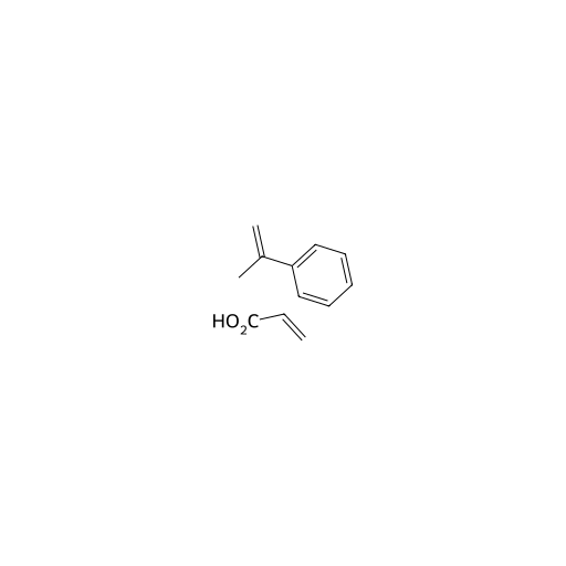 C=C(C)c1ccccc1.C=CC(=O)O